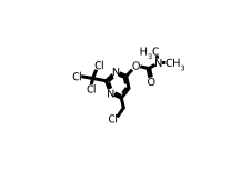 CN(C)C(=O)Oc1cc(CCl)nc(C(Cl)(Cl)Cl)n1